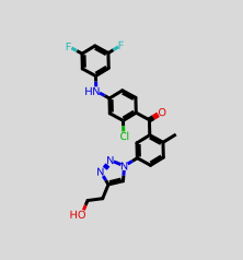 Cc1ccc(-n2cc(CCO)nn2)cc1C(=O)c1ccc(Nc2cc(F)cc(F)c2)cc1Cl